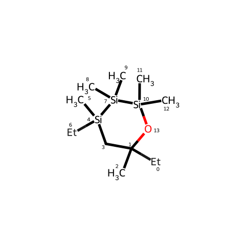 CCC1(C)C[Si](C)(CC)[Si](C)(C)[Si](C)(C)O1